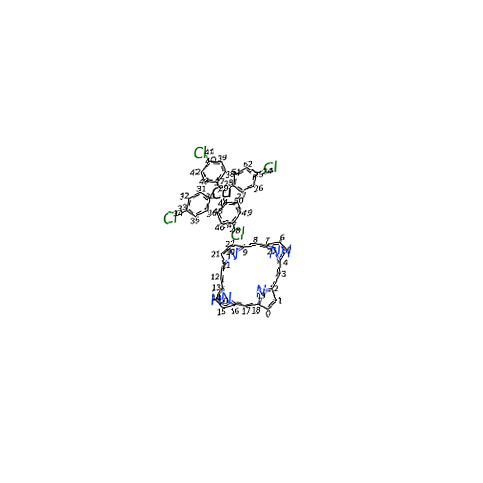 C1=Cc2cc3ccc(cc4nc(cc5ccc(cc1n2)[nH]5)C=C4)[nH]3.Clc1cc[c]([Cu]([c]2ccc(Cl)cc2)([c]2ccc(Cl)cc2)[c]2ccc(Cl)cc2)cc1